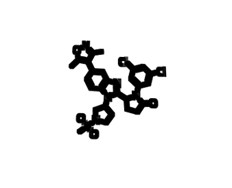 Cc1noc(C)c1-c1ccc2c(c1)nc(C1CCC(=O)N1c1cc(Cl)cc(Cl)c1)n2C1CCN(S(C)(=O)=O)C1